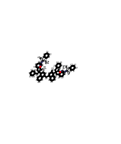 C=C(/C=C/C=C1/N(C)c2ccccc2N1CC)C(Cc1ccccc1)(Cc1ccccc1)c1c(C)cc(Cc2cc3c(c4ccccc24)C(Cc2ccccc2)(Cc2ccccc2)C(/C=C/C=C2/N(C)c4ccccc4N2CC)=[N+]3C)c2ccccc12